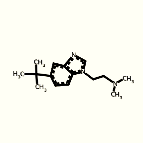 CN(C)CCn1cnc2cc(C(C)(C)C)ccc21